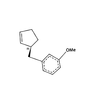 COc1cccc(C[C@H]2C=CCC2)c1